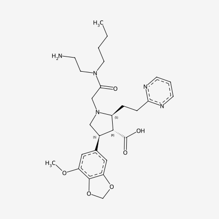 CCCCN(CCN)C(=O)CN1C[C@H](c2cc(OC)c3c(c2)OCO3)[C@@H](C(=O)O)[C@@H]1CCc1ncccn1